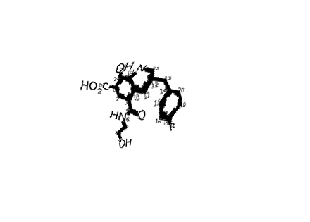 O=C(O)c1cc(C(=O)NCCO)c2cc(Cc3ccc(F)cc3)cnc2c1O